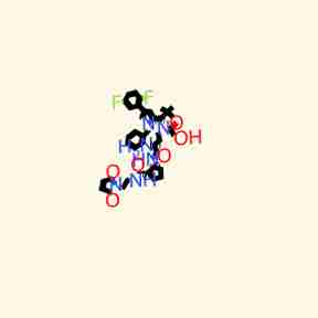 CC(C)(C)[C@H](c1cc(-c2cc(F)ccc2F)cn1Cc1ccccc1)N(CC[C@H](N)C(=O)N[C@H]1CCC[C@H]1C(=O)NCCN1C(=O)C=CC1=O)C(=O)CO